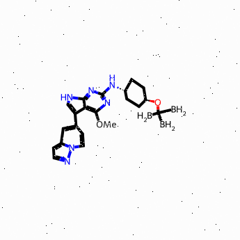 BC(B)(B)O[C@H]1CC[C@H](Nc2nc(OC)c3c(-c4ccn5nccc5c4)c[nH]c3n2)CC1